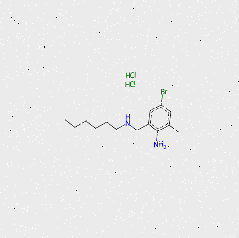 CCCCCCNCc1cc(Br)cc(C)c1N.Cl.Cl